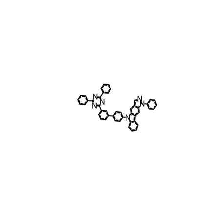 c1ccc(-c2nc(-c3ccccc3)nc(-c3cccc(-c4ccc(-n5c6ccccc6c6cc7c(cnn7-c7ccccc7)cc65)cc4)c3)n2)cc1